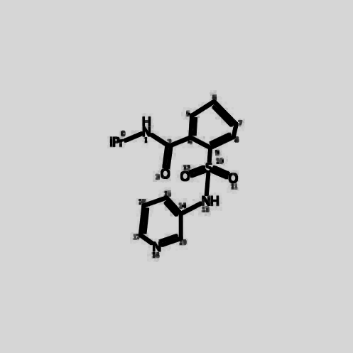 CC(C)NC(=O)c1ccccc1S(=O)(=O)Nc1cccnc1